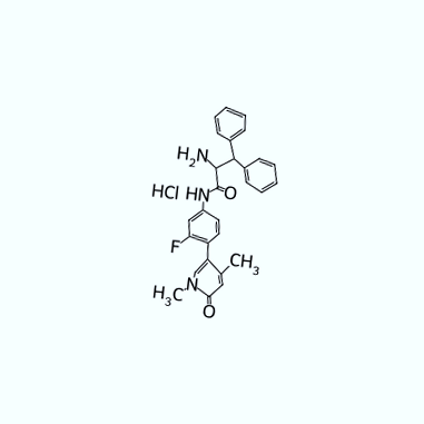 Cc1cc(=O)n(C)cc1-c1ccc(NC(=O)C(N)C(c2ccccc2)c2ccccc2)cc1F.Cl